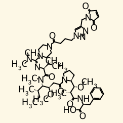 CC[C@H](C)[C@@H]([C@@H](CC(=O)N1CCC[C@H]1[C@H](OC)[C@@H](C)C(=O)N[C@@H](Cc1ccccc1)C(=O)O)OC)N(C)C(=O)[C@@H](N=C(N(C)C)N1CCN(C(=O)CCCn2cc(CN3C(=O)C=CC3=O)nn2)CC1)C(C)C